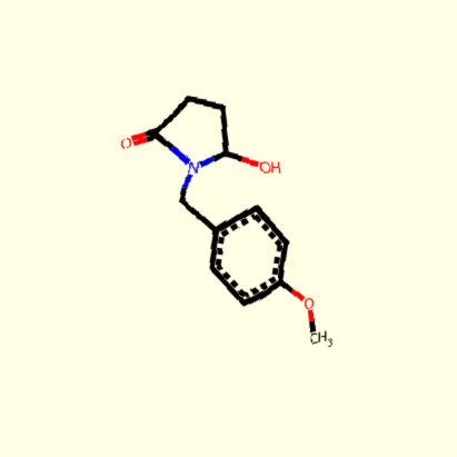 COc1ccc(CN2C(=O)CCC2O)cc1